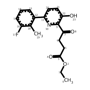 CCOC(=O)CCC(=O)c1nc(-c2cccc(F)c2C)ccc1O